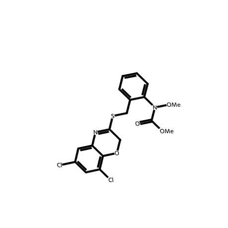 COC(=O)N(OC)c1ccccc1CSC1=Nc2cc(Cl)cc(Cl)c2OC1